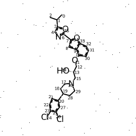 CC(C)c1cnc(-c2cc3c(OC[C@@H](O)CN4CCC(c5ccc(Cl)c(Cl)c5)CC4)cccc3o2)o1